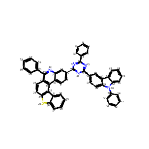 c1ccc(-c2nc(-c3ccc4c(c3)nc(-c3ccccc3)c3ccc5sc6ccccc6c5c34)nc(-c3ccc4c(c3)c3ccccc3n4-c3ccccc3)n2)cc1